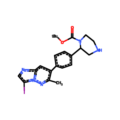 Cc1nn2c(I)cnc2cc1-c1ccc(C2CNCCN2C(=O)OC(C)(C)C)cc1